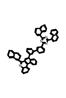 c1cc(-c2cccc(-c3cc4c(-c5ccc6ccccc6c5)nc5ccccc5c4c4ccccc34)c2)cc(-c2nc(-c3cccc4ccccc34)nc(-c3cccc4ccccc34)n2)c1